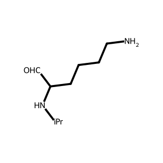 CC(C)NC(C=O)CCCCN